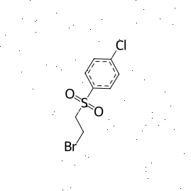 O=S(=O)(CCBr)c1ccc(Cl)cc1